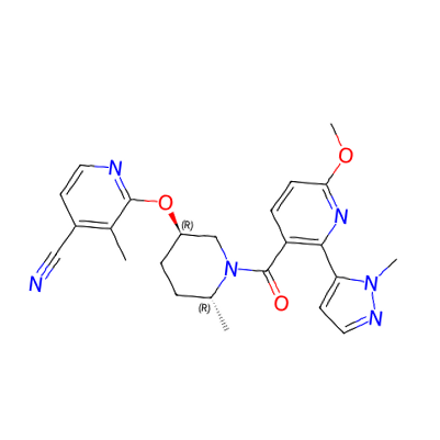 COc1ccc(C(=O)N2C[C@H](Oc3nccc(C#N)c3C)CC[C@H]2C)c(-c2ccnn2C)n1